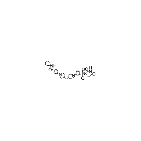 O=C1CCC(N2C(=O)c3ccc(N4CCN(CC5CCN(c6ccc(C(=O)NC7CCCCC7)cc6)CC5)CC4)cc3C2=O)C(=O)N1